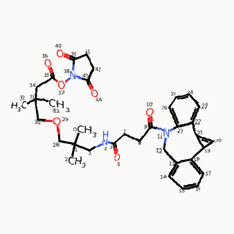 CC(C)(CNC(=O)CCC(=O)N1Cc2ccccc2C2C=C2c2ccccc21)COCC(C)(C)CC(=O)ON1C(=O)CCC1=O